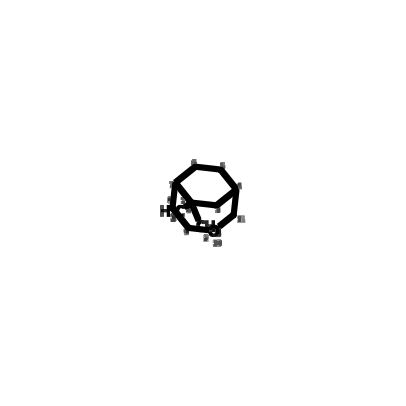 CC1(C)CC2CCC1CCOC2